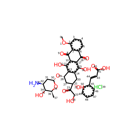 COc1cccc2c1C(=O)c1c(O)c3c(c(O)c1C2=O)C[C@@](O)(C(=O)CO)C[C@@H]3O[C@H]1C[C@H](N)[C@H](O)[C@H](C)O1.Cl.O=C(O)C=Cc1ccccc1